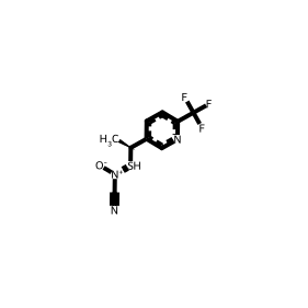 C[C@H]([SH]=[N+]([O-])C#N)c1ccc(C(F)(F)F)nc1